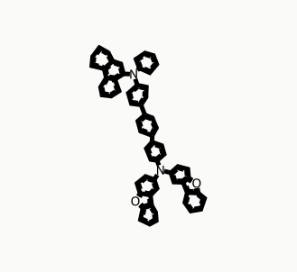 c1ccc(N(c2ccc(-c3ccc(-c4ccc(N(c5ccc6oc7ccccc7c6c5)c5ccc6oc7ccccc7c6c5)cc4)cc3)cc2)c2cc3ccccc3c3ccccc23)cc1